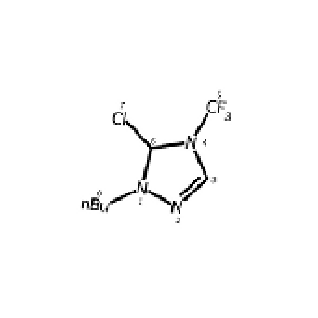 CCCCN1N=CN(C(F)(F)F)C1Cl